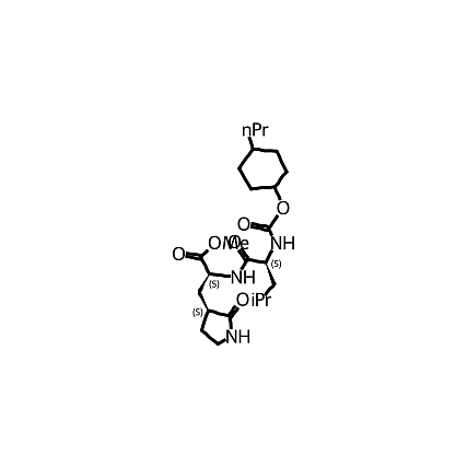 CCCC1CCC(OC(=O)N[C@@H](CC(C)C)C(=O)N[C@@H](C[C@@H]2CCNC2=O)C(=O)OC)CC1